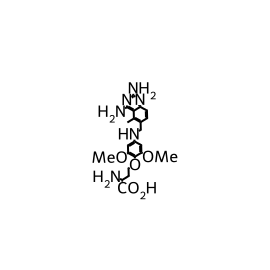 COc1cc(NCc2ccc3nc(N)nc(N)c3c2C)cc(OC)c1OCC[C@H](N)C(=O)O